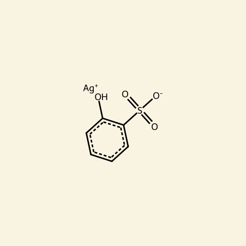 O=S(=O)([O-])c1ccccc1O.[Ag+]